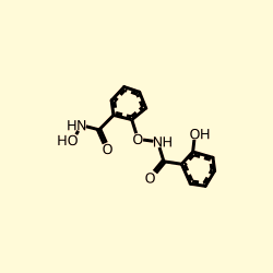 O=C(NOc1ccccc1C(=O)NO)c1ccccc1O